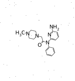 CN1CCN(CC(=O)N(c2ccccc2)c2cccc(N)n2)CC1